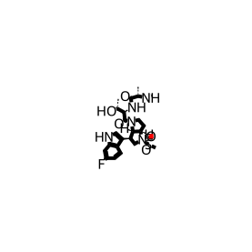 CN[C@@H](C)C(=O)N[C@H](C(=O)N1CC[C@@H]2[C@H]1[C@H](c1c[nH]c3cc(F)ccc13)CN2S(C)(=O)=O)[C@@H](C)O